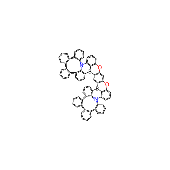 c1cc2c3c(c1)-n1c4ccccc4c4ccccc4c4ccccc4c4cccc(c41)B3c1cc3c(cc1O2)Oc1cccc2c1B3c1cccc3c4ccccc4c4ccccc4c4ccccc4n-2c13